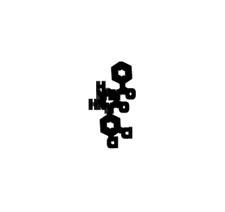 NNN(C(=O)NC(=O)c1ccccc1)c1ccc(Cl)c(Cl)c1